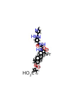 Cc1ccc(-c2nc3cc(C(=O)NC(C)(C)C(=O)N[C@@]45CC[C@]6(C)[C@H](CC[C@@H]7[C@@]8(C)CC[C@H](OC(=O)[C@H]9C[C@@H](C(=O)O)C9(C)C)C(C)(C)[C@@H]8CC[C@]76C)C4=C(C(C)C)C(=O)C5)ccc3[nH]2)cn1